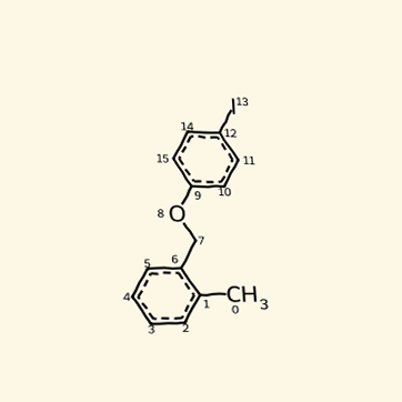 Cc1ccccc1COc1ccc(I)cc1